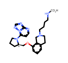 O=C(O)NCCCCN1CCc2cccc(OC[C@H]3CCCN3c3ccnc4ncnn34)c2C1